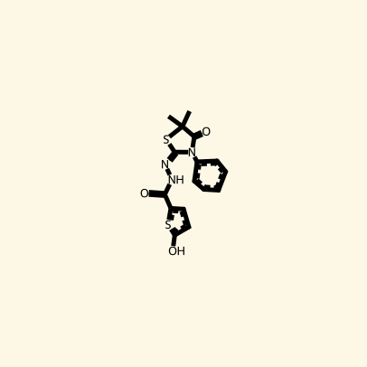 CC1(C)S/C(=N/NC(=O)c2ccc(O)s2)N(c2ccccc2)C1=O